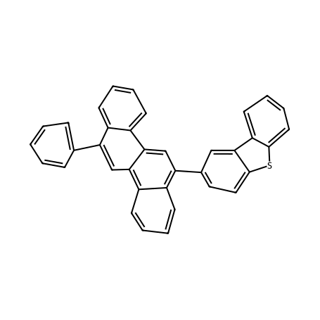 c1ccc(-c2cc3c4ccccc4c(-c4ccc5sc6ccccc6c5c4)cc3c3ccccc23)cc1